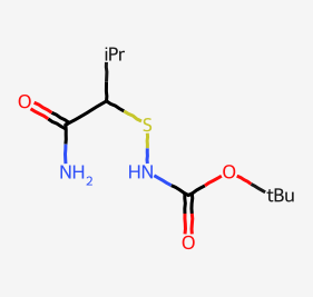 CC(C)C(SNC(=O)OC(C)(C)C)C(N)=O